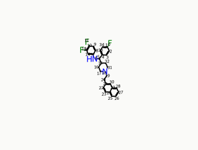 Fc1ccc(C(Nc2ccc(F)c(F)c2)C2CCN(CCc3ccc4ccccc4c3)CC2)cc1